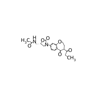 CCC(=O)C1CCOc2cc(N3C[C@H](CNC(C)=O)OC3=O)ccc2C1=O